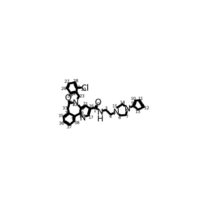 O=C(NCCN1CCN(C2=CC=CC2)CC1)c1cnc2c(c1)N(Cc1ccccc1Cl)C(=O)Cc1ccccc1-2